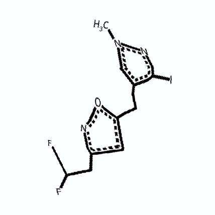 Cn1cc(Cc2cc(CC(F)F)no2)c(I)n1